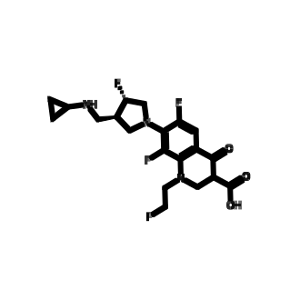 O=C(O)C1CN(CCF)c2c(cc(F)c(N3C[C@@H](CNC4CC4)[C@H](F)C3)c2F)C1=O